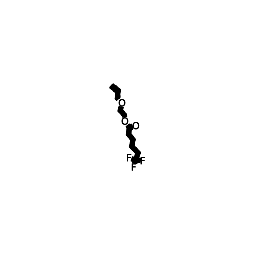 C=CCOCCOC(=O)CCCCC(F)(F)F